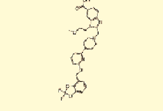 COCCn1c(CN2CCC(c3cccc(OCc4cccc5c4OC(F)(F)O5)n3)CC2)nc2ccc(C(=O)O)cc21